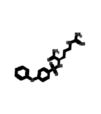 N=C(N)NCCC[C@@H](NS(=O)(=O)c1ccc(Oc2ccccc2)cc1)C(N)=O